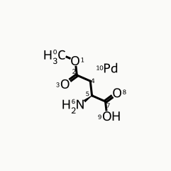 COC(=O)C[C@H](N)C(=O)O.[Pd]